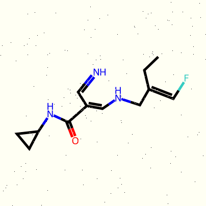 CC/C(=C\F)CN/C=C(\C=N)C(=O)NC1CC1